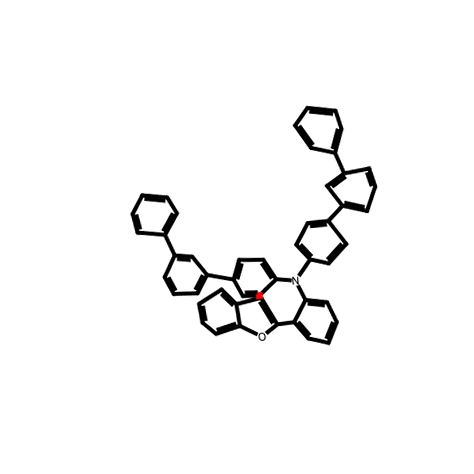 c1ccc(-c2cccc(-c3ccc(N(c4ccc(-c5cccc(-c6ccccc6)c5)cc4)c4ccccc4-c4cc5ccccc5o4)cc3)c2)cc1